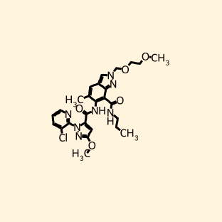 CCCNC(=O)c1c(NC(=O)c2cc(OC)nn2-c2ncccc2Cl)c(C)cc2cn(COCCOC)nc12